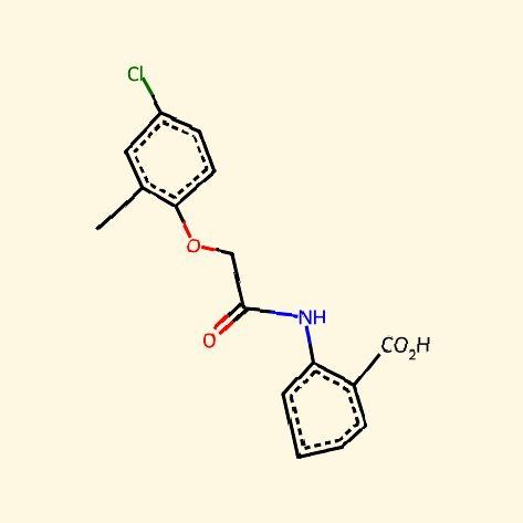 Cc1cc(Cl)ccc1OCC(=O)Nc1ccccc1C(=O)O